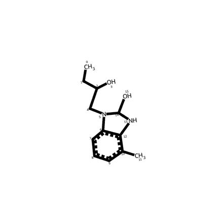 CCC(O)CN1c2cccc(C)c2NC1O